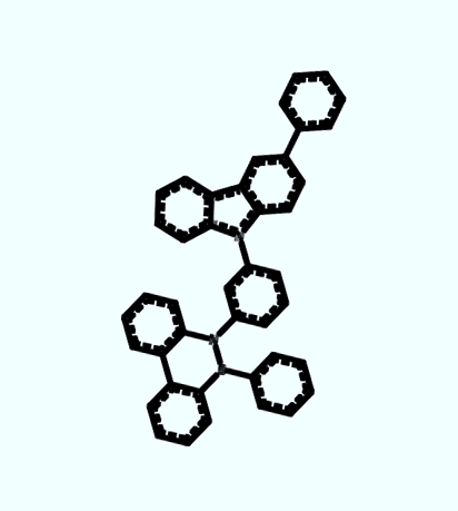 c1ccc(B2c3ccccc3-c3ccccc3N2c2cccc(-n3c4ccccc4c4cc(-c5ccccc5)ccc43)c2)cc1